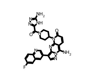 Nc1nnc(C(=O)N2CCC(n3c(=O)ccc4c(N)n5ncc(-c6cnc7ccc(F)cc7c6)c5nc43)CC2)[nH]1